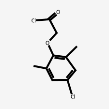 Cc1cc(Cl)cc(C)c1OCC(=O)Cl